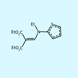 CCOC(=O)C(=CN(CC)c1cccs1)C(=O)OCC